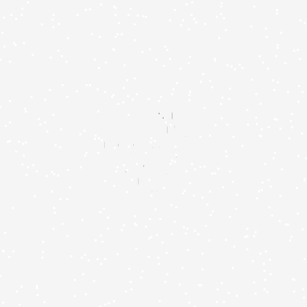 O=S(=O)(O)C1(F)C(F)(F)C(F)(F)C1(F)F.[NaH]